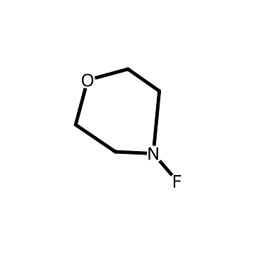 FN1CCOCC1